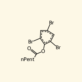 CCCCCC(=O)Oc1c(Br)cc(Br)cc1Br